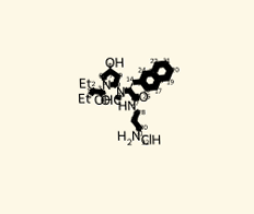 CCC(CC)C(=O)N1C[C@H](O)CC1N(C=O)[C@H](Cc1ccc2ccccc2c1)C(=O)NCCCN.Cl